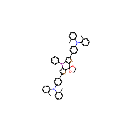 Cc1ccccc1N(c1ccc(-c2cc3c(s2)C2(OCCO2)c2sc(-c4ccc(N(c5ccccc5C)c5ccccc5C)cc4)cc2P3c2ccccc2)cc1)c1ccccc1C